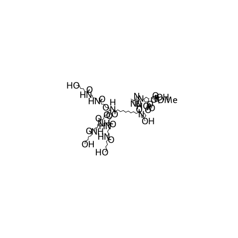 COC(C)(C)P(=O)(O)OC[C@H]1C[C@@H](n2cnc3c(C)ncnc32)C[C@@H]1OP(=O)(O)OC[C@@H]1C[C@@H](O)CN1C(=O)CCCCCCCCC(=O)NC(COCCC(=O)NCCCNC(=O)CCCCO)(COCCC(=O)NCCCNC(=O)CCCCO)COCCC(=O)NCCCNC(=O)CCCCO